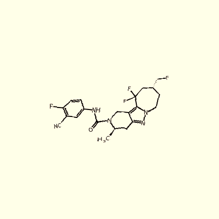 C[C@@H]1Cc2nn3c(c2CN1C(=O)Nc1ccc(F)c(C#N)c1)C(F)(F)C[C@H](CF)CC3